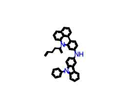 C=CCCC(=C)N1c2cc(Nc3ccc4c(c3)c3ccccc3n4-c3ccccc3)ccc2-c2cccc3cccc1c23